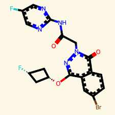 O=C(Cn1nc(O[C@H]2C[C@@H](F)C2)c2cc(Br)ccc2c1=O)Nc1ncc(F)cn1